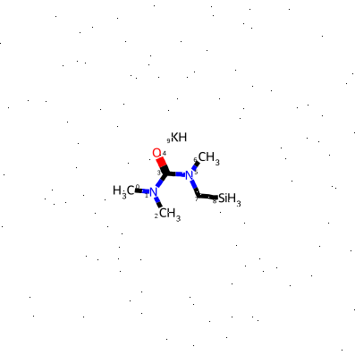 CN(C)C(=O)N(C)C[SiH3].[KH]